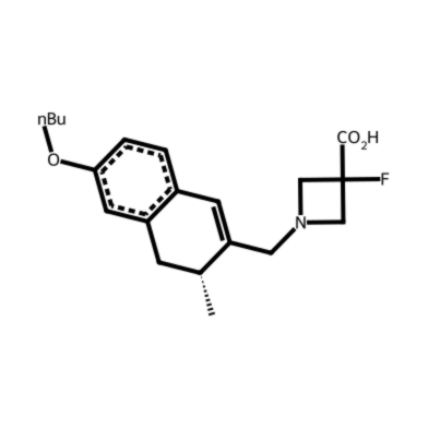 CCCCOc1ccc2c(c1)C[C@@H](C)C(CN1CC(F)(C(=O)O)C1)=C2